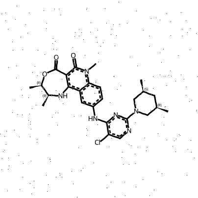 C[C@@H]1C[C@H](C)CN(c2ncc(Cl)c(Nc3ccc4c(c3)c3c(c(=O)n4C)C(=O)O[C@H](C)[C@H](C)N3)n2)C1